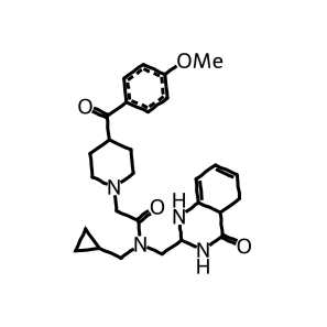 COc1ccc(C(=O)C2CCN(CC(=O)N(CC3CC3)CC3NC(=O)C4CC=CC=C4N3)CC2)cc1